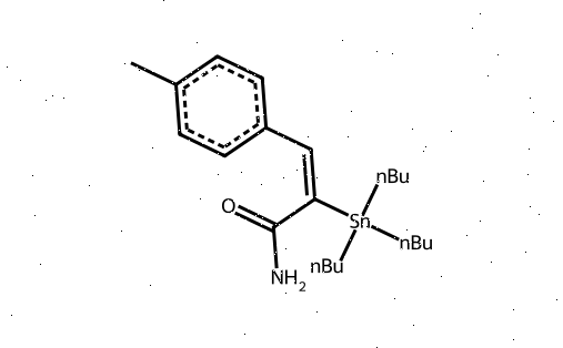 CCC[CH2][Sn]([CH2]CCC)([CH2]CCC)/[C](=C/c1ccc(C)cc1)C(N)=O